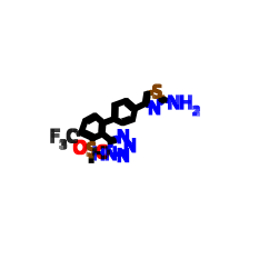 CS(=O)(=O)c1c(C(F)(F)F)ccc(-c2ccc(-c3csc(N)n3)cc2)c1-c1nnn[nH]1